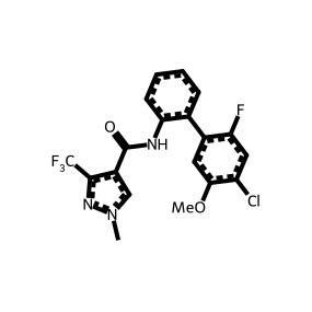 COc1cc(-c2ccccc2NC(=O)c2cn(C)nc2C(F)(F)F)c(F)cc1Cl